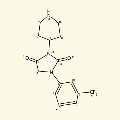 O=C1CN(c2cncc(C(F)(F)F)c2)C(=O)N1C1CCNCC1